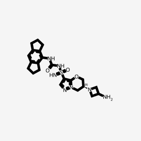 N=S(=O)(NC(=O)Nc1c2c(cc3c1CCC3)CCC2)c1cnn2c1OC[C@H](N1CC(N)C1)C2